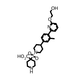 Cc1cc(C2CCN(S(=O)(=O)C3(C(=O)O)CCNCC3)CC2)ccc1-c1cccc(OCCO)n1